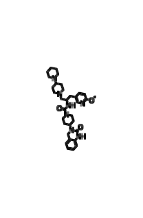 COc1ccc(CC(CN2CCC(N3CCCCC3)CC2)NC(=O)N2CCC(N3Cc4ccccc4NC3=O)CC2)cn1